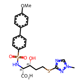 COc1ccc(-c2ccc(S(=O)(=O)N[C@@H](C(=O)O)[C@H](O)CCSc3ncn(C)n3)cc2)cc1